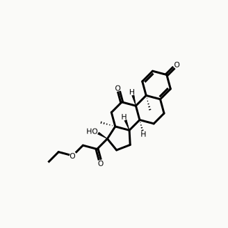 CCOCC(=O)[C@@]1(O)CC[C@H]2[C@@H]3CCC4=CC(=O)C=C[C@]4(C)[C@H]3C(=O)C[C@@]21C